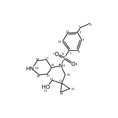 CCc1ccc(S(=O)(=O)N(CC2(CO)CC2)C2CCNCC2)cc1